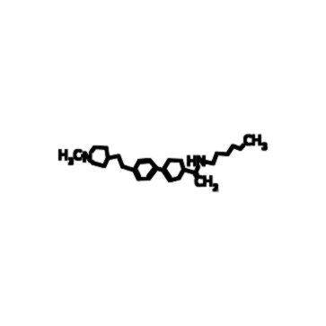 C=C(NCCCCCC)C1CC=C(c2ccc(CCC3CCN(C)CC3)cc2)CC1